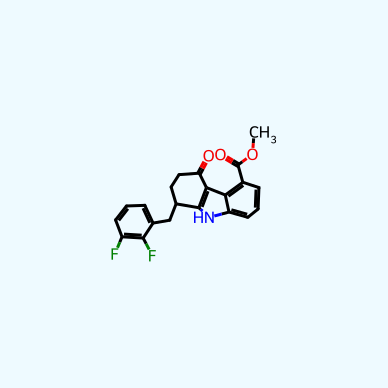 COC(=O)c1cccc2[nH]c3c(c12)C(=O)CCC3Cc1cccc(F)c1F